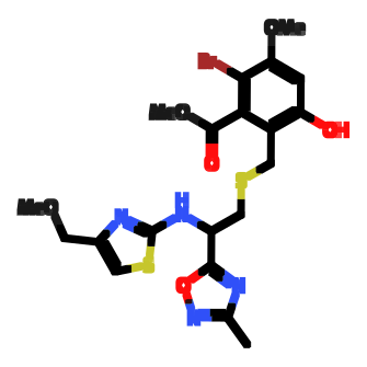 COCc1csc(NC(CSCc2c(O)cc(OC)c(Br)c2C(=O)OC)c2nc(C)no2)n1